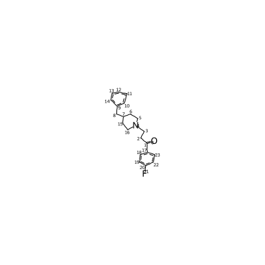 O=C(CCN1CCC(Cc2ccccc2)CC1)c1ccc(F)cc1